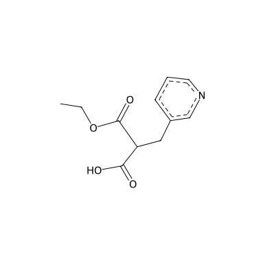 CCOC(=O)C(Cc1cccnc1)C(=O)O